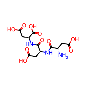 N[C@@H](CC(=O)O)C(=O)N[C@@H](CC(=O)O)C(=O)N[C@@H](CC(=O)O)C(=O)O